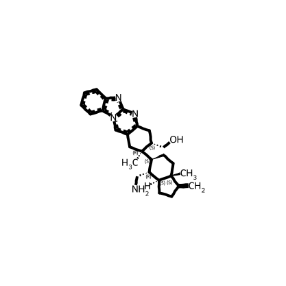 C=C1CC[C@H]2[C@H](CN)[C@@H]([C@@]3(C)Cc4cn5c(nc4C[C@@H]3CO)nc3ccccc35)CC[C@]12C